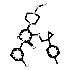 Cc1ccc(C2(COc3c(N4CCN(SC(C)C)CC4)cnn(-c4cccc(Cl)c4)c3=O)CC2)cc1